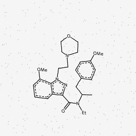 CCN(C(=O)c1nn(CCN2CCOCC2)c2c(OC)cccc12)C(C)Cc1ccc(OC)cc1